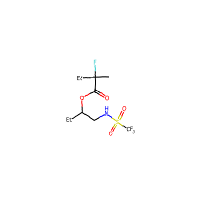 CCC(CNS(=O)(=O)C(F)(F)F)OC(=O)C(C)(F)CC